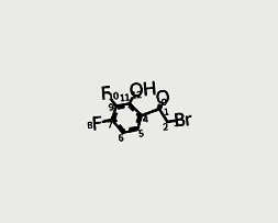 O=C(CBr)c1ccc(F)c(F)c1O